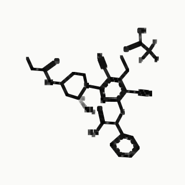 CCC(=O)NC1CCN(c2nc(SC(C(N)=O)c3ccccc3)c(C#N)c(CC)c2C#N)[C@H](N)C1.O=C(O)C(F)(F)F